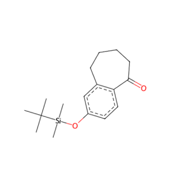 CC(C)(C)[Si](C)(C)Oc1ccc2c(c1)CCCCC2=O